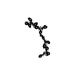 c1ccc(-c2nc(-c3ccccc3)nc(-c3ccc4sc5c(-c6nc(-c7ccccc7)nc(-c7ccc8c(c7)oc7cc(-c9ccc(-c%10nc(-c%11ccccc%11)nc(-c%11ccc%12sc%13c(-c%14nc(-c%15ccccc%15)nc(-c%15cccc%16c%15oc%15ccccc%15%16)n%14)cccc%13c%12c%11)n%10)cc9)ccc78)n6)cccc5c4c3)n2)cc1